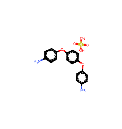 Nc1ccc(Oc2ccc(Oc3ccc(N)cc3)cc2)cc1.O=S(=O)(O)O